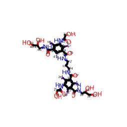 O=C(CO)Nc1c(I)c(C(=O)NCCCNC(=O)c2c(I)c(NC(=O)CO)c(I)c(C(=O)NCC(O)CO)c2I)c(I)c(C(=O)NCC(O)CO)c1I